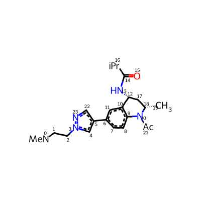 CNCCn1cc(-c2ccc3c(c2)[C@H](NC(=O)C(C)C)C[C@H](C)N3C(C)=O)cn1